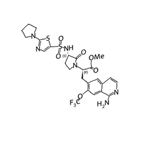 COC(=O)[C@@H](Cc1cc2ccnc(N)c2cc1OC(F)(F)F)N1CC[C@H](NS(=O)(=O)c2cnc(N3CCCC3)s2)C1=O